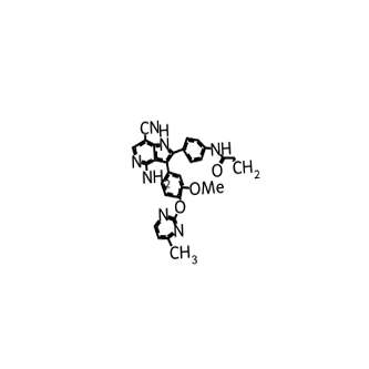 C=CC(=O)Nc1ccc(-c2[nH]c3c(C#N)cnc(N)c3c2-c2ccc(Oc3nccc(C)n3)c(OC)c2)cc1